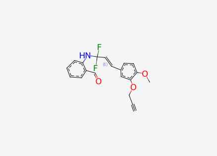 C#CCOc1cc(/C=C/C(F)(F)Nc2ccccc2C=O)ccc1OC